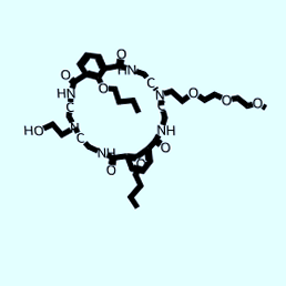 CCCCOc1c2cccc1C(=O)NCCN(CCOCCOCCOC)CCNC(=O)c1cccc(c1OCCCC)C(=O)NCCN(CCO)CCNC2=O